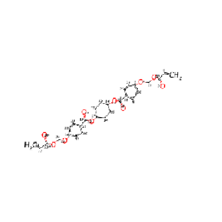 C=CC(=O)OCOc1ccc(C(=O)OC2CCC(OC(=O)c3ccc(OCOC(=O)C=C)cc3)CC2)cc1